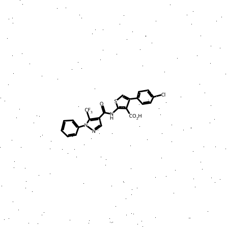 O=C(Nc1scc(-c2ccc(Cl)cc2)c1C(=O)O)c1cnn(-c2ccccc2)c1C(F)(F)F